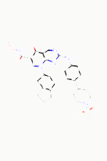 CONC(=O)c1cn(-c2ccc3c(c2)CCC3)c2nc(Nc3ccc(C4CCN(S(C)(=O)=O)CC4)cc3)ncc2c1=O